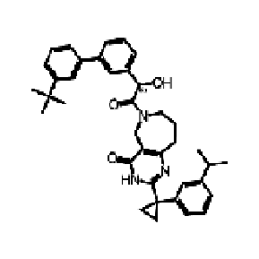 CC(C)c1cccc(C2(c3nc4c(c(=O)[nH]3)CN(C(=O)[C@H](O)c3cccc(-c5cccc(C(C)(C)C)c5)c3)CCC4)CC2)c1